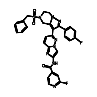 O=C(Nc1cn2nc(-c3c(-c4ccc(F)cc4)nn4c3CN(S(=O)(=O)Cc3ccccc3)CC4)ccc2n1)c1ccnc(F)c1